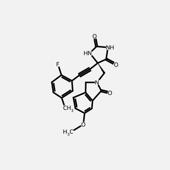 COc1ccc2c(c1)C(=O)N(C[C@@]1(C#Cc3cc(C)ccc3F)NC(=O)NC1=O)C2